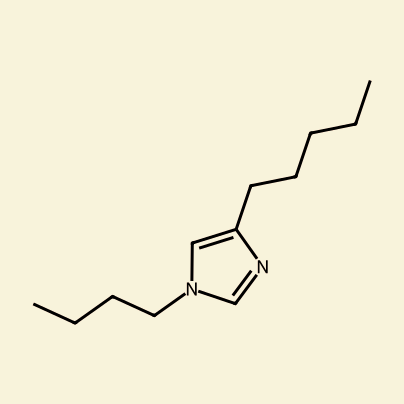 CCCCCc1cn(CCCC)cn1